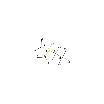 CC(C)S(C)(C(C)C)C(C)(C)C(C)(C)C